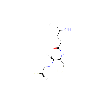 NC(CCC(=O)NC(CS)C(=[Se])NCC(S)=[Se])C(=O)O